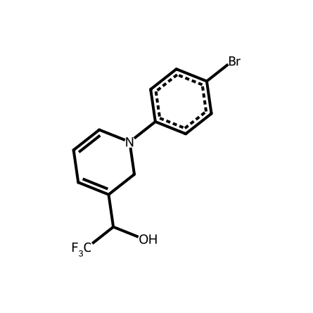 OC(C1=CC=CN(c2ccc(Br)cc2)C1)C(F)(F)F